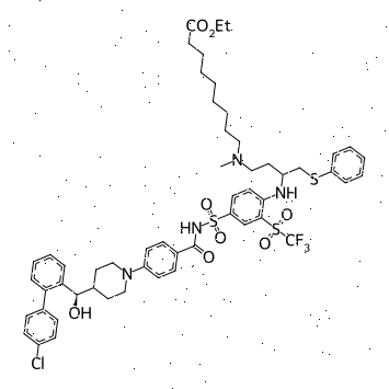 CCOC(=O)CCCCCCCCN(C)CCC(CSc1ccccc1)Nc1ccc(S(=O)(=O)NC(=O)c2ccc(N3CCC([C@@H](O)c4ccccc4-c4ccc(Cl)cc4)CC3)cc2)cc1S(=O)(=O)C(F)(F)F